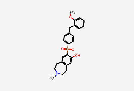 CN1CCc2cc(O)c(S(=O)(=O)c3ccc(Cc4ccccc4OC(F)(F)F)cc3)cc2CC1